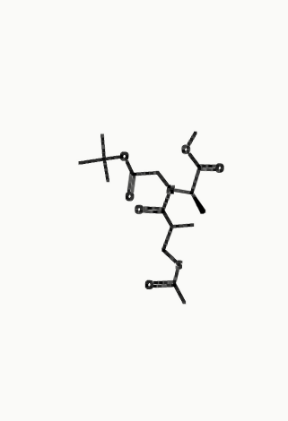 COC(=O)[C@@H](C)N(CC(=O)OC(C)(C)C)C(=O)C(C)CSC(C)=O